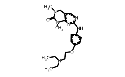 CCN(CC)CCOc1ccc(Nc2ncc3c(n2)N(C)C(=O)N(C)C3)cc1